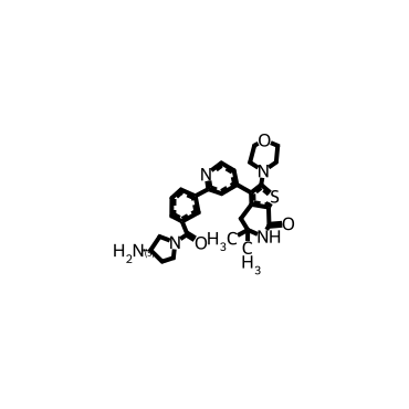 CC1(C)Cc2c(sc(N3CCOCC3)c2-c2ccnc(-c3cccc(C(=O)N4CC[C@H](N)C4)c3)c2)C(=O)N1